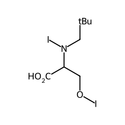 CC(C)(C)CN(I)C(COI)C(=O)O